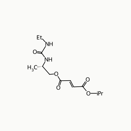 CCNC(=O)N[C@@H](C)COC(=O)/C=C/C(=O)OC(C)C